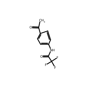 CC(=O)c1ccc(NC(=O)C(F)(F)F)cc1